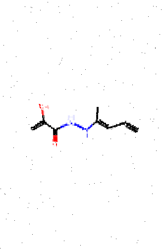 C=C/C=C(\C)NNC(=O)C(=C)O